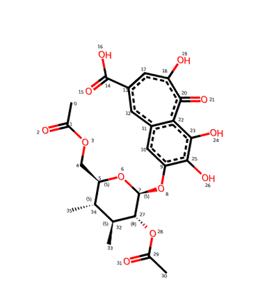 CC(=O)OC[C@H]1O[C@@H](Oc2cc3cc(C(=O)O)cc(O)c(=O)c3c(O)c2O)[C@H](OC(C)=O)[C@@H](C)[C@@H]1C